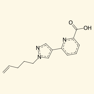 C=CCCCn1cc(-c2cccc(C(=O)O)n2)cn1